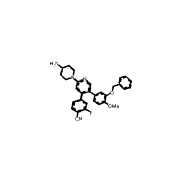 COc1ccc(-c2cnc(N3CCC(N)CC3)cc2-c2ccc(C#N)c(F)c2)cc1OCc1ccccc1